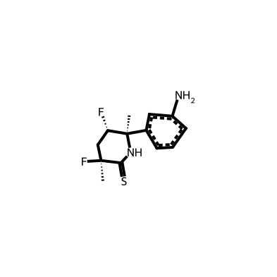 C[C@]1(F)C[C@H](F)[C@@](C)(c2cccc(N)c2)NC1=S